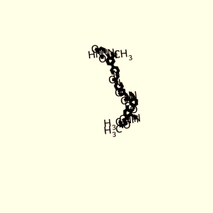 CCN(C)S(=O)(=O)Nc1ccc(F)c(Oc2ccc3ncn(C4COC5(CCN(C(=O)CN6CCC(c7ccc8c(N9CCC(=O)NC9=O)nn(C)c8c7)CC6)CC5)C4)c(=O)c3c2)c1C#N